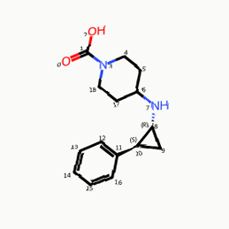 O=C(O)N1CCC(N[C@@H]2C[C@H]2c2ccccc2)CC1